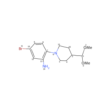 COC(OC)C1CCN(c2ccc(Br)cc2N)CC1